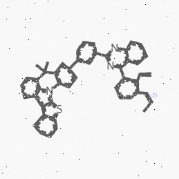 C=Cc1c(/C=C\C)cccc1-c1nc(-c2cccc(-c3ccc4c(c3)C(C)(C)c3cccc5c6c7ccccc7sc6n-4c35)c2)nc2ccccc12